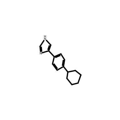 [c]1nc(-c2ccc(C3CCCCC3)cc2)c[nH]1